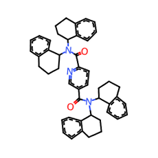 O=C(c1ccc(C(=O)N(C2CCCc3ccccc32)C2CCCc3ccccc32)nc1)N(C1CCCc2ccccc21)C1CCCc2ccccc21